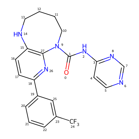 O=C(Nc1ccncn1)N1CCCCNc2ccc(-c3cccc(C(F)(F)F)c3)nc21